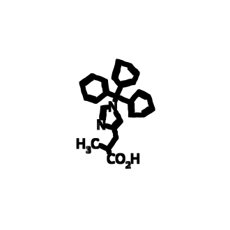 CC(Cc1cn(C(c2ccccc2)(c2ccccc2)c2ccccc2)cn1)C(=O)O